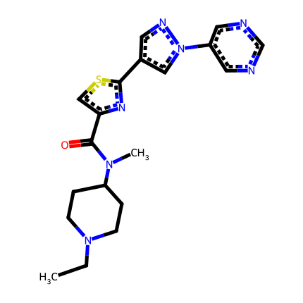 CCN1CCC(N(C)C(=O)c2csc(-c3cnn(-c4cncnc4)c3)n2)CC1